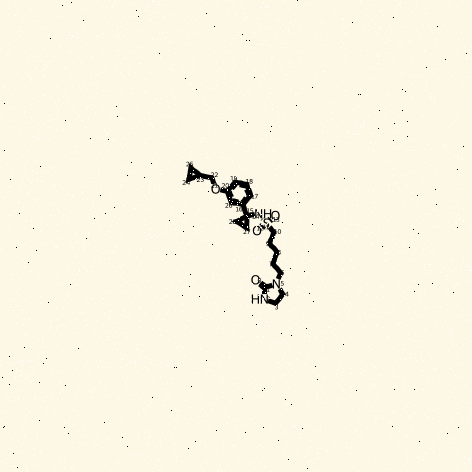 O=C1NCCN1CCCCCS(=O)(=O)NC1(c2cccc(OCC3CC3)c2)CC1